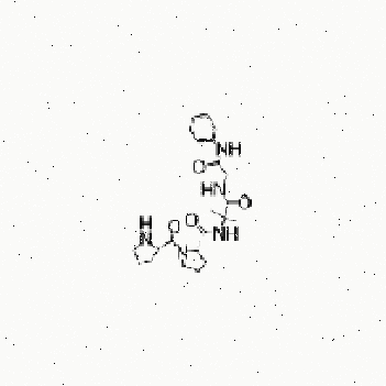 CC(C)(NC(=O)[C@@H]1CCCN1C(=O)[C@H]1CCCN1)C(=O)NCC(=O)Nc1ccccc1